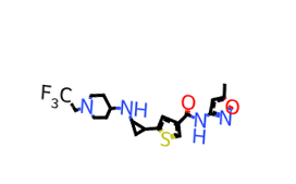 Cc1cc(NC(=O)c2csc(C3CC3NC3CCN(CC(F)(F)F)CC3)c2)no1